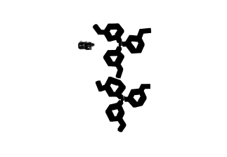 CCc1cccc(P(c2cccc(CC)c2)c2cccc(CC)c2)c1.CCc1cccc(P(c2cccc(CC)c2)c2cccc(CC)c2)c1.[Cl-].[Cl-].[Co+2]